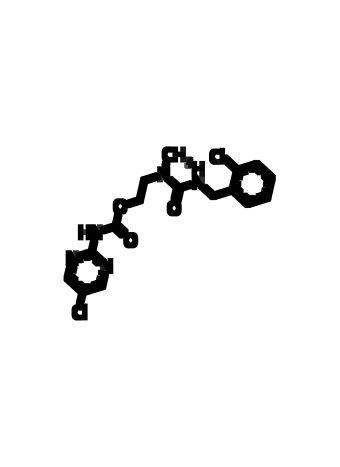 CN(CCOC(=O)Nc1ncc(Cl)cn1)C(=O)NCc1ccccc1Cl